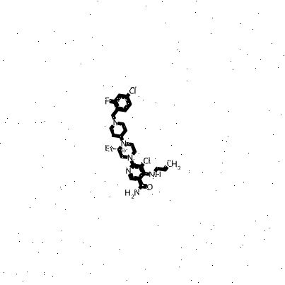 C=CCNc1c(C(N)=O)cnc(N2CCN(C3CCN(Cc4ccc(Cl)cc4F)CC3)[C@@H](CC)C2)c1Cl